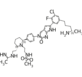 CC(=N)NCC[C@@H]1CCC[C@@H](c2ccc(-n3cc4cc(-c5cc(CCC[C@H](C)N)cc(Cl)c5F)[nH]c4nc3=O)cc2)N1CCNS(C)(=O)=O